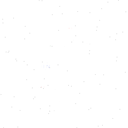 CCOC(=O)/C(Cl)=C/[C@@H](N)CC(=O)OC(C)(C)C